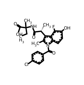 CCC(C)(NC(=O)[C@H](C)c1c(C)n(C(=O)c2ccc(Cl)cc2)c2ccc(O)c(F)c12)C(=O)O